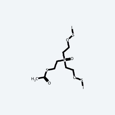 CC(=O)SCCP(=O)(CCOSI)CCOSI